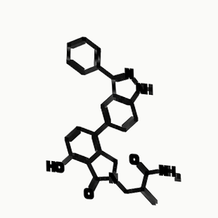 C=C(CN1Cc2c(-c3ccc4[nH]nc(-c5ccccc5)c4c3)ccc(O)c2C1=O)C(N)=O